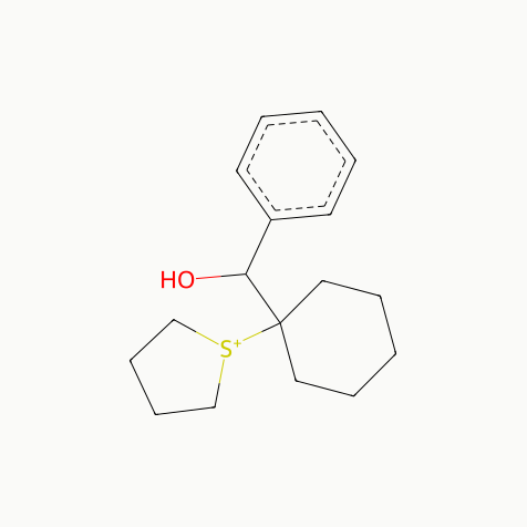 OC(c1ccccc1)C1([S+]2CCCC2)CCCCC1